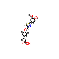 COc1ccc(-c2nc(COc3ccc(C(C)CC(=O)O)cc3)cs2)cc1OC